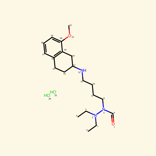 CCN(CC)N(C=O)CCCCNC1CCc2cccc(OC)c2C1.Cl.Cl